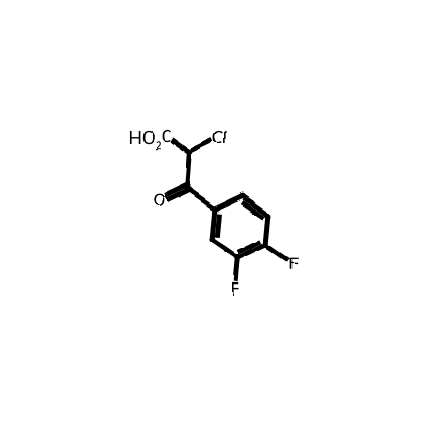 O=C(O)C(Cl)C(=O)c1ccc(F)c(F)c1